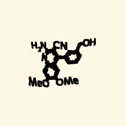 COc1cc2nc(N)c(C#N)c(-c3cccc(CO)c3)c2cc1OC